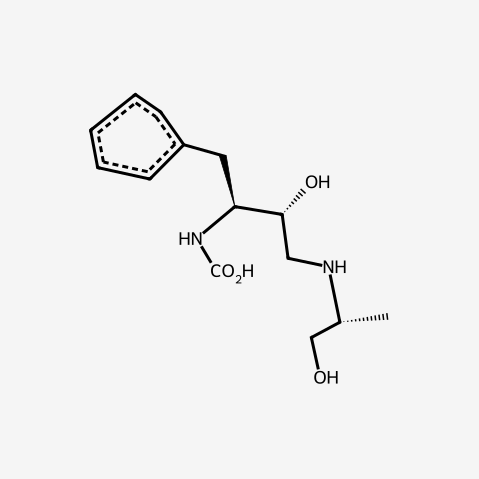 C[C@H](CO)NC[C@@H](O)[C@H](Cc1ccccc1)NC(=O)O